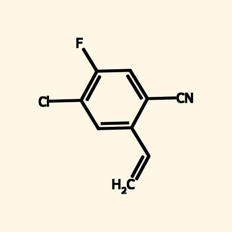 C=Cc1cc(Cl)c(F)cc1C#N